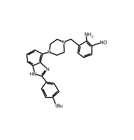 CC(C)(C)c1ccc(-c2nc3c(N4CCN(Cc5cccc(N=O)c5N)CC4)cccc3[nH]2)cc1